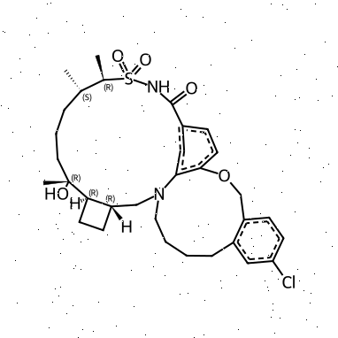 C[C@@H]1[C@@H](C)CCC[C@@](C)(O)[C@@H]2CC[C@H]2CN2CCCCc3cc(Cl)ccc3COc3ccc(cc32)C(=O)NS1(=O)=O